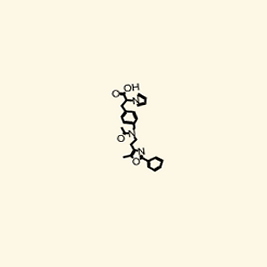 CC(=O)N(CCc1nc(-c2ccccc2)oc1C)Cc1ccc(CC(C(=O)O)n2cccc2)cc1